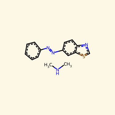 CNC.c1ccc(N=Nc2ccc3ncsc3c2)cc1